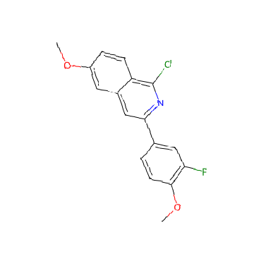 COc1ccc2c(Cl)nc(-c3ccc(OC)c(F)c3)cc2c1